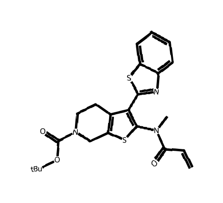 C=CC(=O)N(C)c1sc2c(c1-c1nc3ccccc3s1)CCN(C(=O)OC(C)(C)C)C2